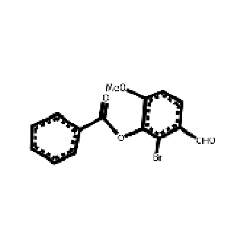 COc1ccc(C=O)c(Br)c1OC(=O)c1ccccc1